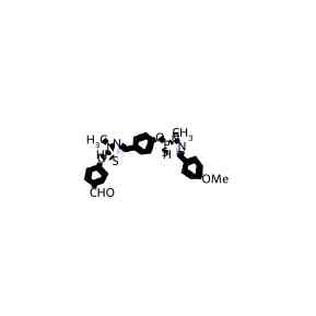 COc1ccc(/C=N/N(C)[PH](=S)Oc2ccc(/C=N/N(C)[PH](=S)Oc3ccc(C=O)cc3)cc2)cc1